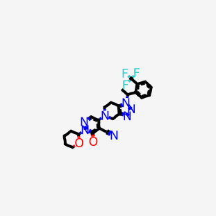 CC(c1ccccc1C(F)(F)F)n1nnc2c1CCN(c1cnn(C3CCCCO3)c(=O)c1C#N)C2